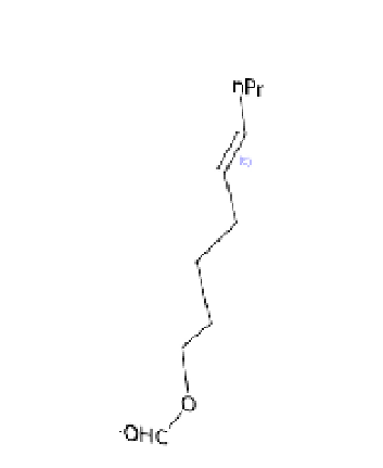 CCC/C=C/CCCCO[C]=O